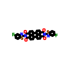 O=C1c2ccc3c4ccc5c6c(ccc(c7ccc(c2c37)C(=O)N1c1nc2cc(F)ccc2s1)c64)C(=O)N(c1nc2cc(F)ccc2s1)C5=O